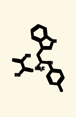 Cc1ccc(N[C@@H](Cc2c[nH]c3ccccc23)C(=O)O)cc1.O=C(O)C(=O)O